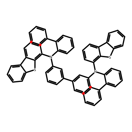 c1ccc(-c2ccccc2N(c2cccc(-c3cccc(N(c4ccccc4-c4ccccc4)c4cccc5c4sc4ccccc45)c3)c2)c2cccc3c2sc2ccccc23)cc1